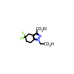 CCOC(=O)c1nn(CC(=O)O)c2c1CC(F)(F)CC2